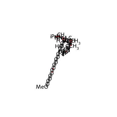 COCCOCCOCCOCCOCCOCCOCCOCCOCCOCCOCCOCCOCCOCCOCCOCCOCC#Cc1cc(NC[C@H](C)NC[C@@H](N)C(C)C)ccc1COC(=O)N(CCOC12CC3(C)CC(C)(CC(Cn4ncc(-c5ccc(N6CCc7cccc(C(=O)Nc8nc9ccccc9s8)c7C6)nc5C(=O)O)c4C)(C3)C1)C2)CCS(=O)(=O)O